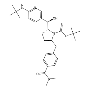 CN(C)C(=O)c1ccc(CC2CC[C@H]([C@H](O)c3ccc(NC(C)(C)C)nc3)N2C(=O)OC(C)(C)C)cc1